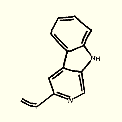 C=[C]c1cc2c(cn1)[nH]c1ccccc12